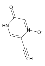 C#Cc1c[nH]c(=O)c[n+]1[O-]